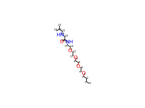 CCCCOCCOCCOCCOCCNC(=O)CNCC(C)C